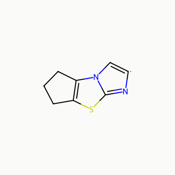 [c]1cn2c3c(sc2n1)CCC3